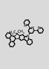 CC1(C)c2cc3c(cc2-c2c1c1ccccc1c1ccccc21)c1ccccc1n3-c1cc(-c2ccccn2)nc(-c2ccccn2)c1